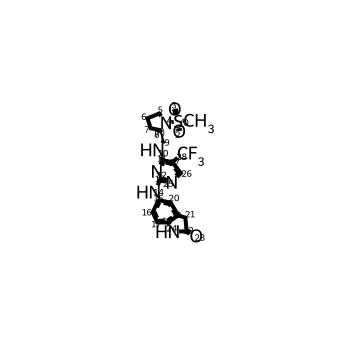 CS(=O)(=O)N1CCC[C@@H]1CNc1nc(Nc2ccc3c(c2)CC(=O)N3)ncc1C(F)(F)F